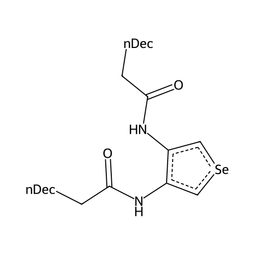 CCCCCCCCCCCC(=O)Nc1c[se]cc1NC(=O)CCCCCCCCCCC